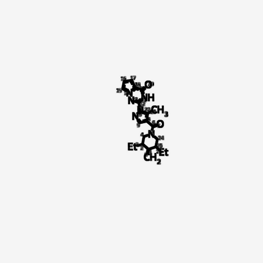 C=C1C(CC)CN(C(=O)c2cnn(-c3nn4cccc4c(=O)[nH]3)c2C)CC1CC